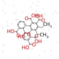 CCc1c(CC)c(-c2cccc(C(=O)O)c2C(=O)O)c(-c2cccc(C(=O)O)c2C(=O)O)c(C(=O)O)c1C(=O)O